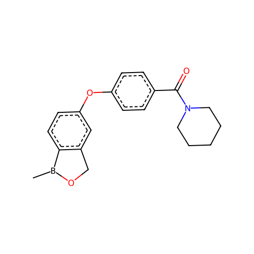 CB1OCc2cc(Oc3ccc(C(=O)N4CCCCC4)cc3)ccc21